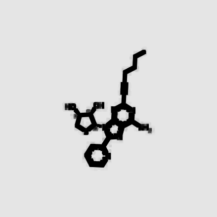 CCCCC#Cc1nc(N)c2nc(-c3ccccn3)n([C@@H]3SC[C@@H](O)[C@H]3O)c2n1